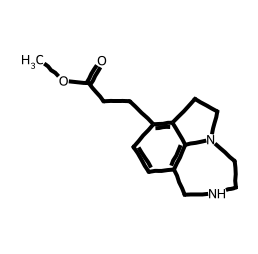 COC(=O)CCc1ccc2c3c1CCN3CCNC2